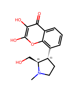 CN1CC[C@@H](c2cccc3c(=O)c(O)c(O)oc23)[C@@H]1CO